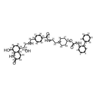 O=C(Nc1ccccc1-c1ccccc1)OC1CCN(CCNC(=O)c2ccc(CNC[C@H](O)c3ccc(O)c4[nH]c(=O)ccc34)cc2)CC1